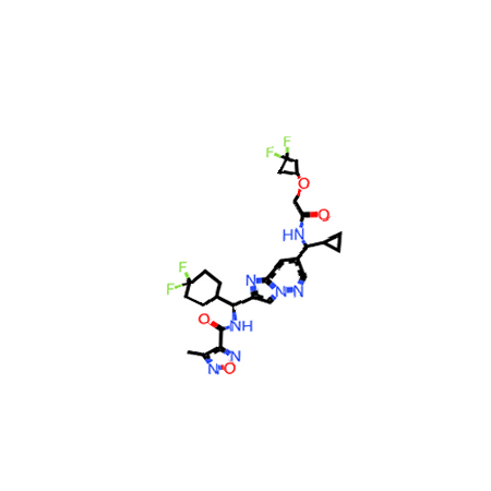 Cc1nonc1C(=O)N[C@H](c1cn2ncc(C(NC(=O)COC3CC(F)(F)C3)C3CC3)cc2n1)C1CCC(F)(F)CC1